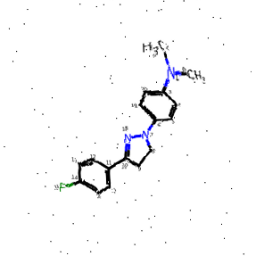 CN(C)c1ccc(N2CCC(c3ccc(F)cc3)=N2)cc1